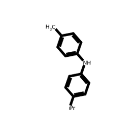 Cc1ccc(Nc2ccc(C(C)C)cc2)cc1